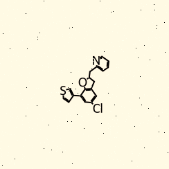 Clc1cc2c(c(-c3ccsc3)c1)OC(Cc1ccccn1)C2